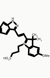 COc1ccc2c(c1)C(C)(C)C(/C=C/c1n[nH]c3ccccc13)=[N+]2CCCS(=O)(=O)O